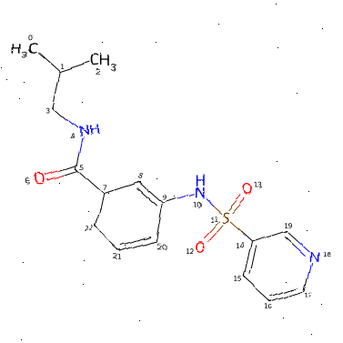 CC(C)CNC(=O)C1C=C(NS(=O)(=O)c2cccnc2)C=CC1